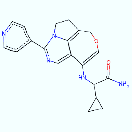 NC(=O)C(NC1=COCC2=C3C1=CN=C(c1ccncc1)N3CC2)C1CC1